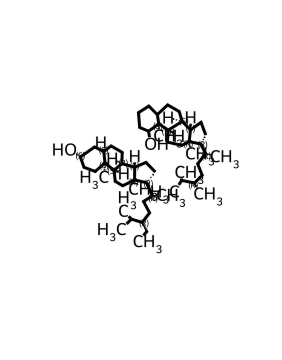 CC(C)[C@H](C)CC[C@@H](C)[C@H]1CC[C@H]2[C@@H]3CCC4CCCC(O)[C@]4(C)[C@H]3CC[C@]12C.CC[C@H](CC[C@@H](C)[C@H]1CC[C@H]2[C@@H]3CC[C@H]4C[C@@H](O)CC[C@]4(C)[C@H]3CC[C@]12C)C(C)C